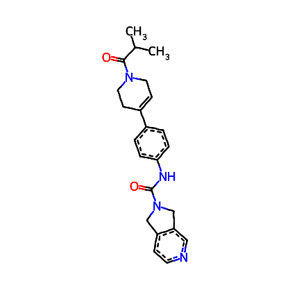 CC(C)C(=O)N1CC=C(c2ccc(NC(=O)N3Cc4ccncc4C3)cc2)CC1